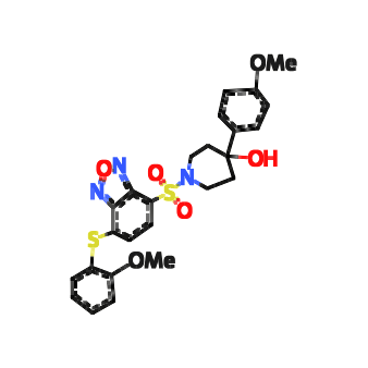 COc1ccc(C2(O)CCN(S(=O)(=O)c3ccc(Sc4ccccc4OC)c4nonc34)CC2)cc1